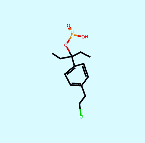 CCC(CC)(O[PH](=O)O)c1ccc(CCCl)cc1